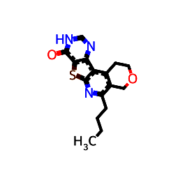 CCCCc1nc2sc3c(=O)[nH]cnc3c2c2c1COCC2